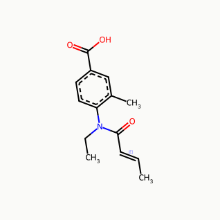 C/C=C/C(=O)N(CC)c1ccc(C(=O)O)cc1C